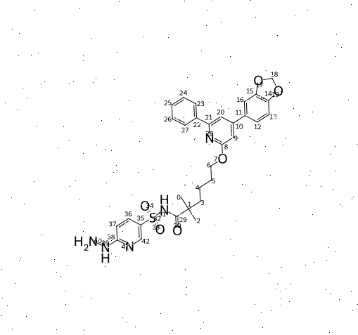 CC(C)(CCCCOc1cc(-c2ccc3c(c2)OCO3)cc(-c2ccccc2)n1)C(=O)NS(=O)(=O)c1ccc(NN)nc1